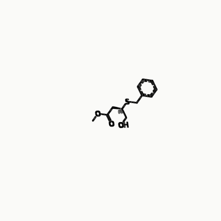 COC(=O)C[C@H](CO)SCc1ccccc1